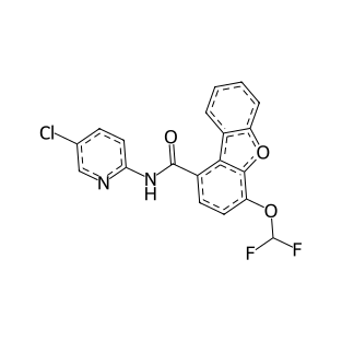 O=C(Nc1ccc(Cl)cn1)c1ccc(OC(F)F)c2oc3ccccc3c12